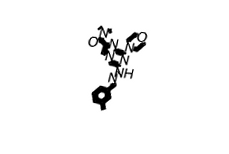 Cc1cccc(/C=N/Nc2cn3cc(C(=O)N(C)C)nc3c(N3CCOCC3)n2)c1